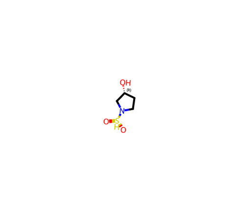 O=[SH](=O)N1CC[C@@H](O)C1